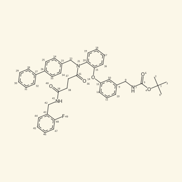 CC(C)(C)OC(=O)NCc1cccc(Oc2ccccc2N(Cc2ccc(-c3ccccc3)cc2)C(=O)CCC(=O)NCc2ccccc2F)c1